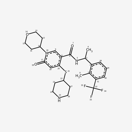 Cc1c(C(C)NC(=O)c2cn(C3CCOCC3)c(=O)cc2SC2CCNCC2)cccc1C(F)(F)F